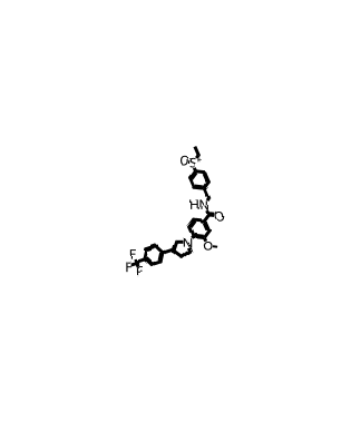 CC[S+]([O-])c1ccc(CNC(=O)c2ccc(N3CCC(c4ccc(C(F)(F)F)cc4)C3)c(OC)c2)cc1